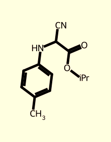 Cc1ccc(NC(C#N)C(=O)OC(C)C)cc1